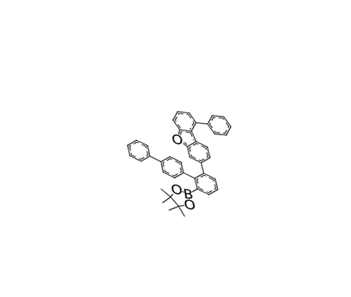 CC1(C)OB(c2cccc(-c3ccc4c(c3)oc3cccc(-c5ccccc5)c34)c2-c2ccc(-c3ccccc3)cc2)OC1(C)C